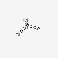 C=C/C=C(\C=C/C)c1ccc(-c2ccc(-c3nc(-c4cc(F)cc(F)c4)nc(-c4ccc(-c5ccc(C(/C=C\C)=C/C=C)cc5)cc4)c3F)cc2)cc1